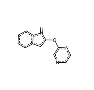 c1ccc2[nH]c(Oc3cnccn3)cc2c1